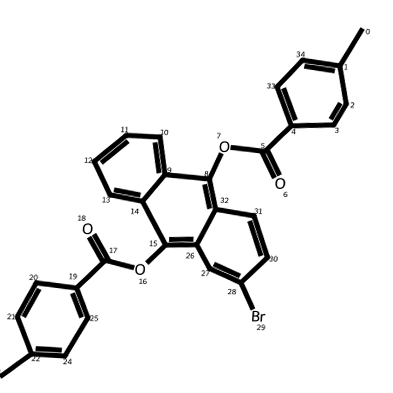 Cc1ccc(C(=O)Oc2c3ccccc3c(OC(=O)c3ccc(C)cc3)c3cc(Br)ccc23)cc1